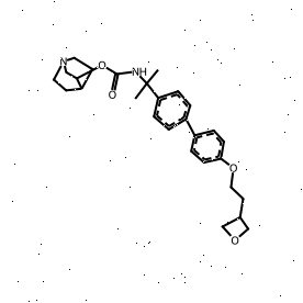 CC(C)(NC(=O)OC1CN2CCC1CC2)c1ccc(-c2ccc(OCCC3COC3)cc2)cc1